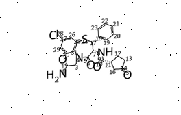 NC(=O)CN1C(=O)[C@@H](NC(=O)[C@@H]2CCC(=O)C2)[C@@H](c2ccccc2)Sc2cc(Cl)ccc21